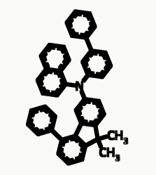 CC1(C)c2ccc(N(c3cccc(-c4ccccc4)c3)c3cccc4ccccc34)cc2-c2c(-c3ccccc3)cccc21